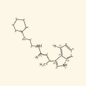 CC(CC(=O)NCCOC1CCCCC1)c1c[nH]c2cccc(F)c12